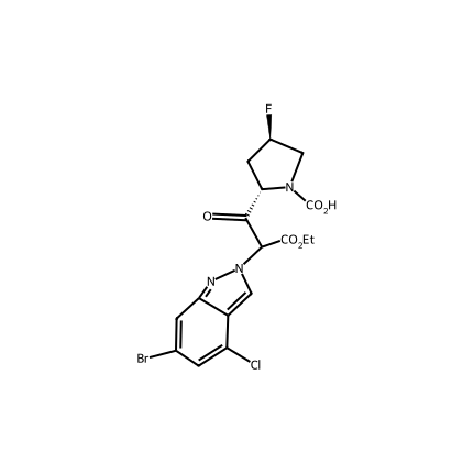 CCOC(=O)C(C(=O)[C@@H]1C[C@@H](F)CN1C(=O)O)n1cc2c(Cl)cc(Br)cc2n1